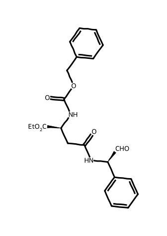 CCOC(=O)[C@H](CC(=O)N[C@@H](C=O)c1ccccc1)NC(=O)OCc1ccccc1